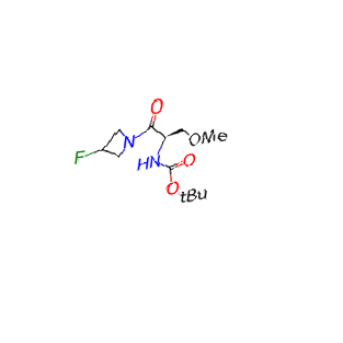 COC[C@@H](NC(=O)OC(C)(C)C)C(=O)N1CC(F)C1